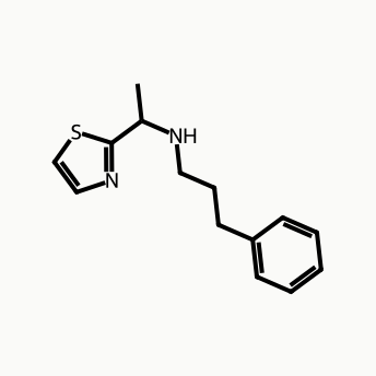 CC(NCCCc1ccccc1)c1nccs1